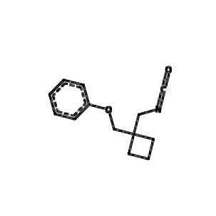 O=C=NCC1(COc2ccccc2)CCC1